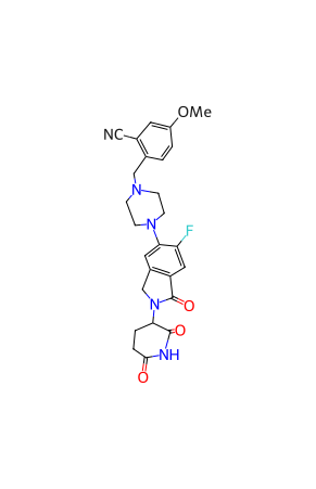 COc1ccc(CN2CCN(c3cc4c(cc3F)C(=O)N(C3CCC(=O)NC3=O)C4)CC2)c(C#N)c1